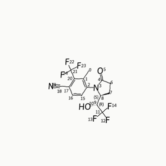 Cc1c(N2C(=O)CC[C@H]2[C@@H](O)C(F)(F)F)ccc(C#N)c1C(F)(F)F